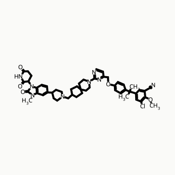 COc1c(Cl)cc(C(C)(C)c2ccc(OCc3ccnc(N4CCC5(CCC(CN6CCC(c7ccc8c(c7)n(C)c(=O)n8C7CCC(=O)NC7=O)CC6)CC5)CC4)n3)cc2)cc1C#N